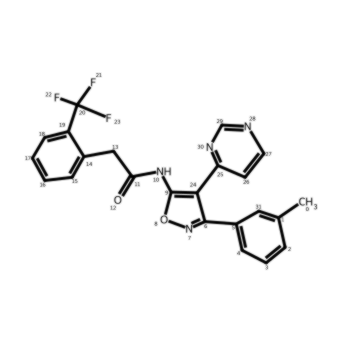 Cc1cccc(-c2noc(NC(=O)Cc3ccccc3C(F)(F)F)c2-c2ccncn2)c1